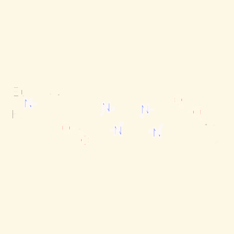 CCN(CC)c1ccc2cc(-c3cnc(-c4cnc(-c5cc6ccccc6oc5=O)cn4)cn3)c(=O)oc2c1